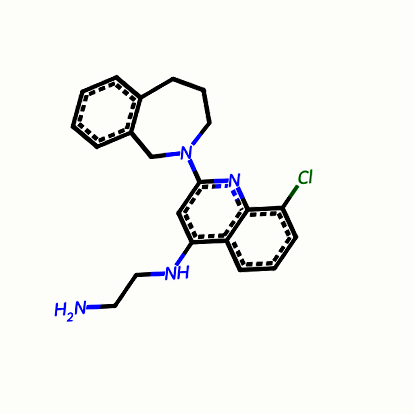 NCCNc1cc(N2CCCc3ccccc3C2)nc2c(Cl)cccc12